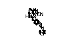 CC(C)CN(NC(=O)Cc1ccc(OCCN2CCOCC2)cc1)c1nc(C#N)ncc1F